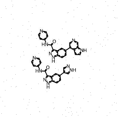 O=C(Nc1ccncc1)c1n[nH]c2ccc(-c3cn[nH]c3)cc12.O=C(Nc1ccncc1)c1n[nH]c2ccc(-c3cncc4[nH]ccc34)cc12